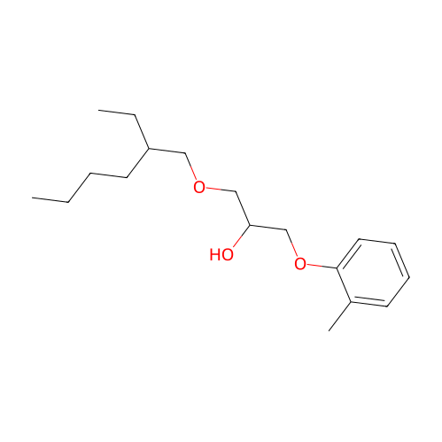 CCCCC(CC)COCC(O)COc1ccccc1C